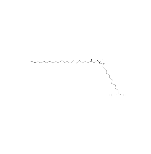 CCCCCCCCCCCCCCCCCCCCCC(=O)CCC(O)(O)C(=O)CCCCCCCCCCC(C)C